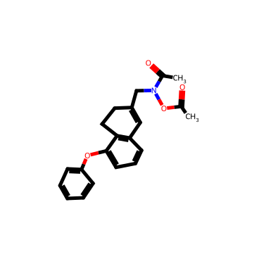 CC(=O)ON(CC1=Cc2cccc(Oc3ccccc3)c2CC1)C(C)=O